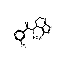 O=C(O)C1=C2C(=NCCC2NC(=O)c2cccc(C(F)(F)F)c2)N=N1